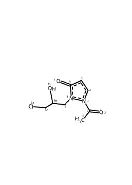 CC(=O)n1ccc(=O)n1CC(O)CCl